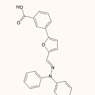 O=C(O)c1cccc(-c2ccc(/C=N/N(c3ccccc3)c3ccccc3)o2)c1